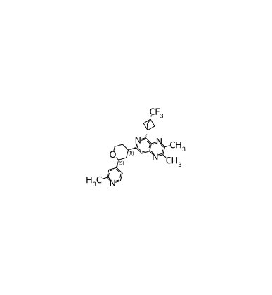 Cc1cc([C@@H]2C[C@H](c3cc4nc(C)c(C)nc4c([C@]45C[C@](C(F)(F)F)(C4)C5)n3)CCO2)ccn1